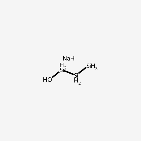 O[SiH2][SiH2][SiH3].[NaH]